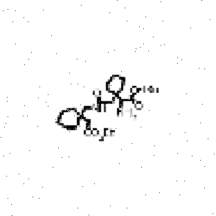 CCOC(=O)CC1(CNC(=O)CC2(C(N)C(=O)OC(C)(C)C)CCCCC2)CCCCC1